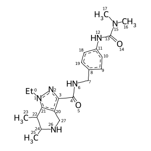 CCn1nc(C(=O)NCc2ccc(NC(=O)N(C)C)cc2)c2c1C(C)C(C)NC2